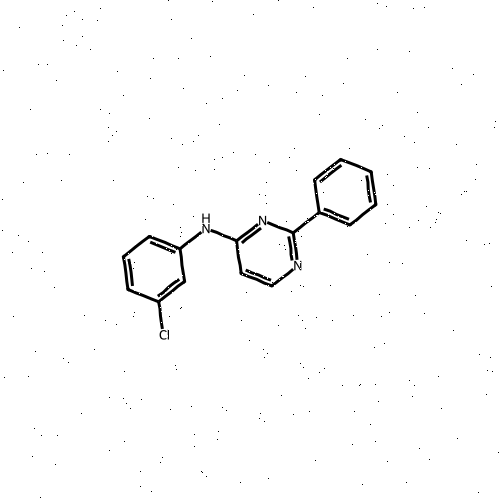 Clc1cccc(Nc2ccnc(-c3ccccc3)n2)c1